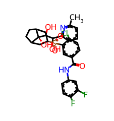 Cc1cccc(C(O)C(O)[C@]2(O)C3CCC2C[C@@H](S(=O)(=O)c2cc(C(=O)Nc4ccc(F)c(F)c4)ccc2Cl)C3)n1